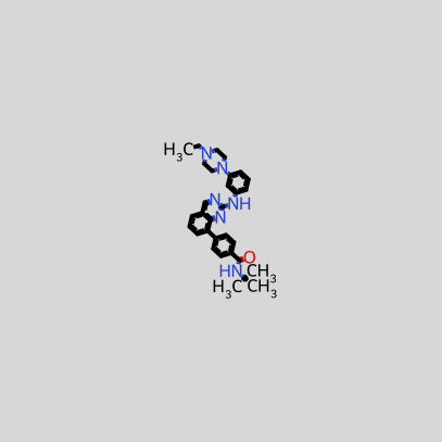 CCN1CCN(c2cccc(Nc3ncc4cccc(-c5ccc(C(=O)NC(C)(C)C)cc5)c4n3)c2)CC1